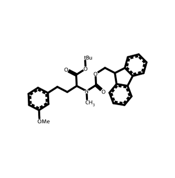 COc1cccc(CCC(C(=O)OC(C)(C)C)N(C)C(=O)OCC2c3ccccc3-c3ccccc32)c1